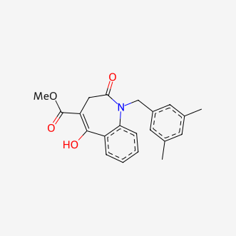 COC(=O)C1=C(O)c2ccccc2N(Cc2cc(C)cc(C)c2)C(=O)C1